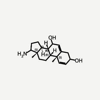 C[C@]12C=CC(O)CC1=CC(O)[C@@H]1[C@H]2CC[C@]2(C)C(N)CC[C@@H]12